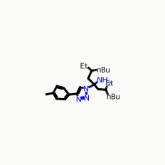 CCCCC(CC)CC(N)(CC(CC)CCCC)n1cc(-c2ccc(C)cc2)nn1